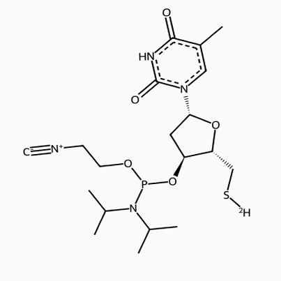 [2H]SC[C@H]1O[C@@H](n2cc(C)c(=O)[nH]c2=O)C[C@@H]1OP(OCC[N+]#[C-])N(C(C)C)C(C)C